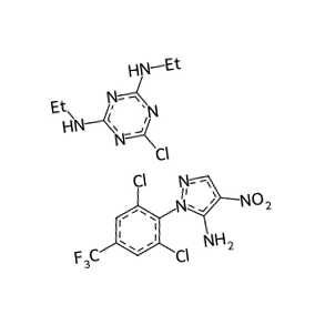 CCNc1nc(Cl)nc(NCC)n1.Nc1c([N+](=O)[O-])cnn1-c1c(Cl)cc(C(F)(F)F)cc1Cl